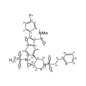 CNC(=O)c1c(-c2ccc(F)cc2)oc2cc(N(C)S(C)(=O)=O)c([C@@H]3CCCN(S(=O)(=O)CCc4ccccc4)C3)cc12